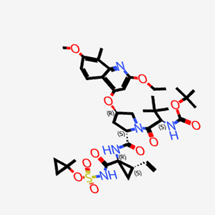 C=C[C@@H]1C[C@]1(NC(=O)[C@@H]1C[C@@H](Oc2cc(OCC)nc3c(C)c(OC)ccc23)CN1C(=O)[C@@H](NC(=O)OC(C)(C)C)C(C)(C)C)C(=O)NS(=O)(=O)OC1(C)CC1